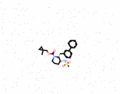 CC1(COC(=O)N2CCC[C@@H](NS(C)(=O)=O)[C@H]2Cc2cccc(-c3ccccc3)c2)CC1